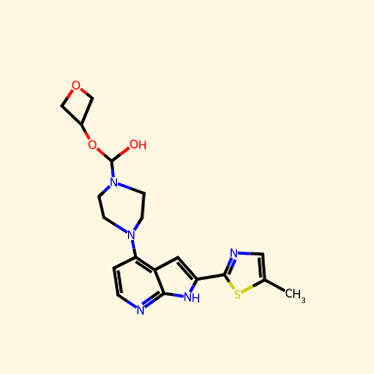 Cc1cnc(-c2cc3c(N4CCN(C(O)OC5COC5)CC4)ccnc3[nH]2)s1